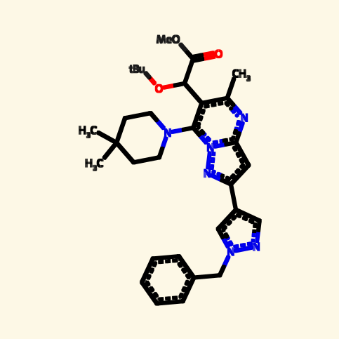 COC(=O)C(OC(C)(C)C)c1c(C)nc2cc(-c3cnn(Cc4ccccc4)c3)nn2c1N1CCC(C)(C)CC1